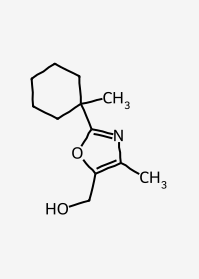 Cc1nc(C2(C)CCCCC2)oc1CO